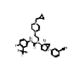 N#Cc1cccc([C@]23CC[C@@H](N(CCN4CCN(CC5CC5)CC4)C(=O)Nc4ccc(F)c(C(F)(F)F)c4)[C@H]2C3)c1